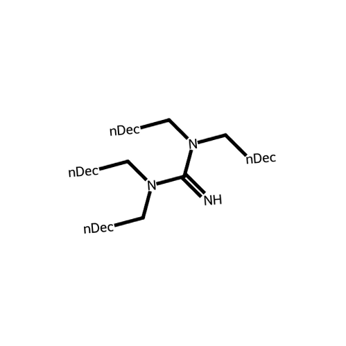 CCCCCCCCCCCN(CCCCCCCCCCC)C(=N)N(CCCCCCCCCCC)CCCCCCCCCCC